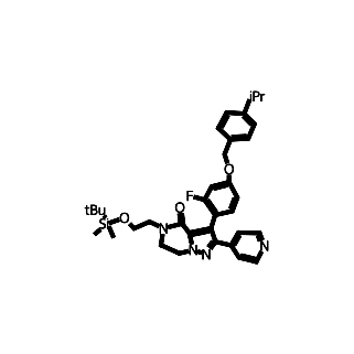 CC(C)c1ccc(COc2ccc(-c3c(-c4ccncc4)nn4c3C(=O)N(CCO[Si](C)(C)C(C)(C)C)CC4)c(F)c2)cc1